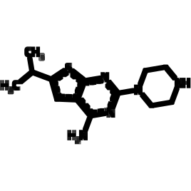 CC(C)c1cc2c(N)nc(N3CCNCC3)nc2s1